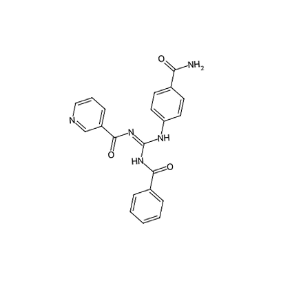 NC(=O)c1ccc(NC(=NC(=O)c2cccnc2)NC(=O)c2ccccc2)cc1